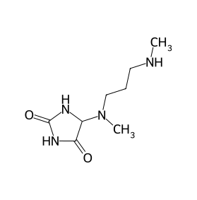 CNCCCN(C)C1NC(=O)NC1=O